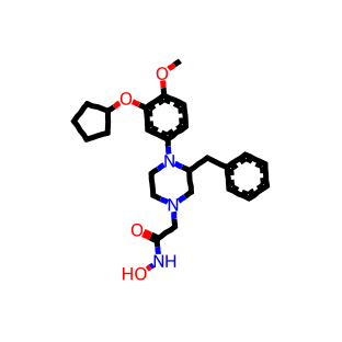 COc1ccc(N2CCN(CC(=O)NO)CC2Cc2ccccc2)cc1OC1CCCC1